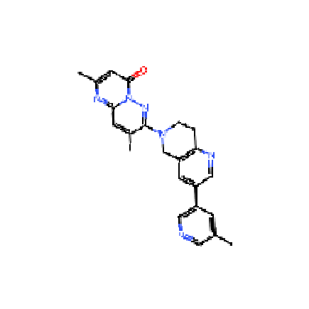 Cc1cncc(-c2cnc3c(c2)CN(c2nn4c(=O)cc(C)nc4cc2C)CC3)c1